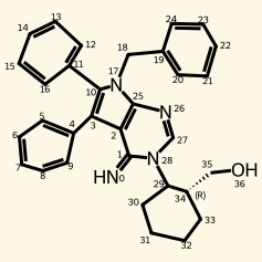 N=c1c2c(-c3ccccc3)c(-c3ccccc3)n(Cc3ccccc3)c2ncn1C1CCCC[C@H]1CO